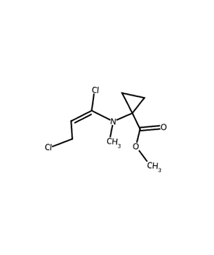 COC(=O)C1(N(C)/C(Cl)=C\CCl)CC1